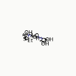 C=C1/C(=C\C=C2/CCC[C@]3(C)[C@@H](C(C)(C)/C=C/[C@@H](O)C4(c5nc(CC)cs5)CC4)CC[C@@H]23)C[C@@H](O)C[C@@H]1O